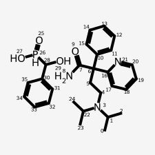 CC(C)N(CCC(C(N)=O)(c1ccccc1)c1ccccn1)C(C)C.O=[PH](O)C(O)c1ccccc1